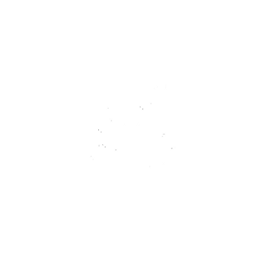 CON=Cc1c(C)nn(C)c1Oc1ccccc1